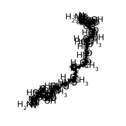 CC(C)(CCCc1ccccc1CCCC(C)(C)C(=O)CCNC(=O)CCNC(=O)C(O)C(C)(C)COP(=O)(O)OP(=O)(O)OCC1OC(n2cnc3c(N)ncnc32)C(O)C1OP(=O)(O)O)C(=O)CCNC(=O)CCNC(=O)C(O)C(C)(C)COP(=O)(O)OP(=O)(O)OCC1OC(n2cnc3c(N)ncnc32)C(O)C1OP(=O)(O)O